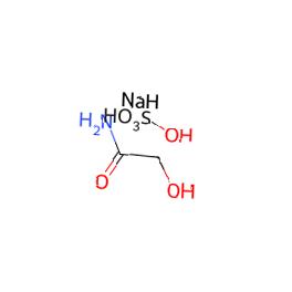 NC(=O)CO.O=S(=O)(O)O.[NaH]